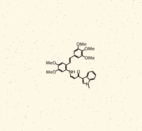 COc1cc(C=Cc2cc(OC)c(OC)c(OC)c2)c(N/C=C\C(=O)c2cn(C)c3ccccc23)cc1OC